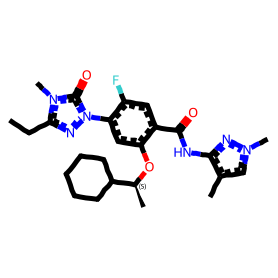 CCc1nn(-c2cc(O[C@@H](C)C3CCCCC3)c(C(=O)Nc3nn(C)cc3C)cc2F)c(=O)n1C